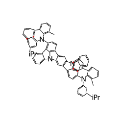 Cc1cccc(-c2ccccc2)c1N(c1cccc(C(C)C)c1)c1ccc2c3cc4c(cc3n3c5ccccc5c1c23)c1ccc(N(c2cccc(C(C)C)c2)c2c(C)cccc2-c2ccccc2)c2c3ccccc3n4c12